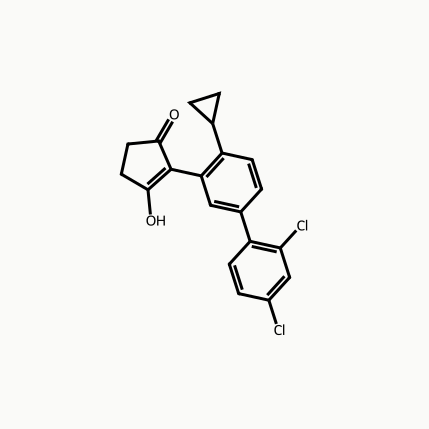 O=C1CCC(O)=C1c1cc(-c2ccc(Cl)cc2Cl)ccc1C1CC1